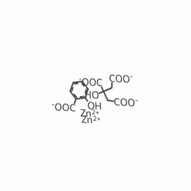 O=C([O-])CC(O)(CC(=O)[O-])C(=O)[O-].O=C([O-])c1ccccc1O.[Zn+2].[Zn+2]